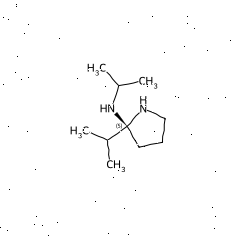 CC(C)N[C@]1(C(C)C)CCCN1